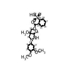 COc1ccc(N2CC(C)(COC(=O)c3ccccc3S(=O)(=O)O)C(=O)N2)cc1OC